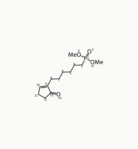 COP(=O)(CCCCCCC1=CCCC1=O)OC